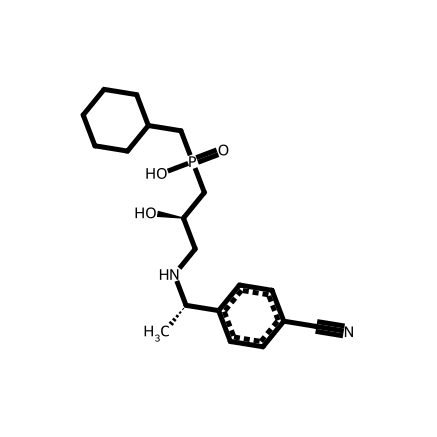 C[C@H](NC[C@@H](O)CP(=O)(O)CC1CCCCC1)c1ccc(C#N)cc1